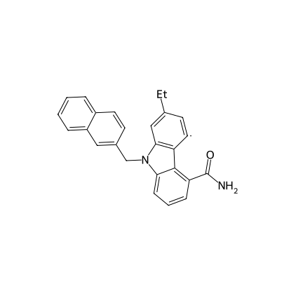 CCc1c[c]c2c3c(C(N)=O)cccc3n(Cc3ccc4ccccc4c3)c2c1